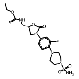 CCOC(=S)NC[C@H]1CN(c2ccc(N3CCN(S(N)(=O)=O)CC3)c(F)c2)C(=O)O1